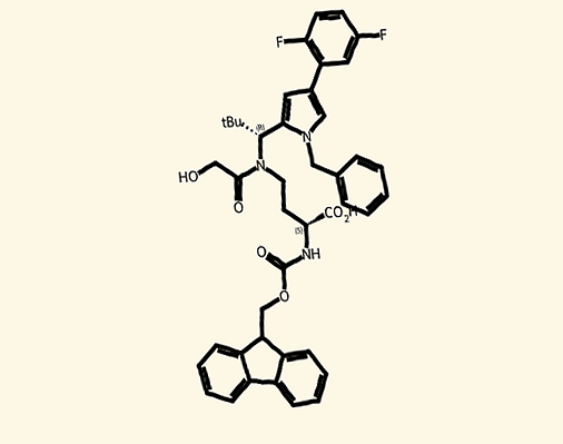 CC(C)(C)[C@H](c1cc(-c2cc(F)ccc2F)cn1Cc1ccccc1)N(CC[C@H](NC(=O)OCC1c2ccccc2-c2ccccc21)C(=O)O)C(=O)CO